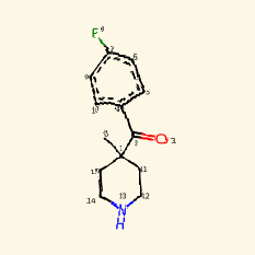 CC1(C(=O)c2ccc(F)cc2)CCNCC1